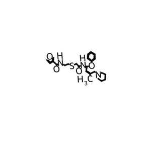 C/C(=C/C(NC(=O)CSCCNC(=O)c1ccoc1)Oc1ccccc1)CN1CCCCC1